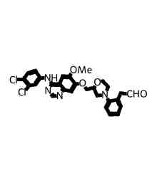 COc1cc2c(Nc3ccc(Cl)c(Cl)c3)ncnc2cc1OCC1CN(c2ccccc2CC=O)CCO1